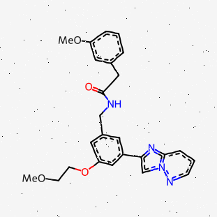 COCCOc1cc(CNC(=O)Cc2cccc(OC)c2)cc(-c2cn3ncccc3n2)c1